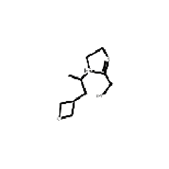 CC(C)CC1=NCC[SH]1C(C)CC1COC1